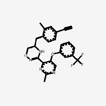 C#Cc1ccc(CC2CON=C(c3nc(C)ncc3Oc3cccc(C(F)(F)F)c3)N2)c(C)c1